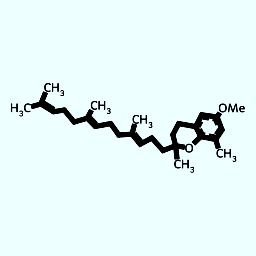 COc1cc(C)c2c(c1)CCC(C)(CC/C=C(\C)CC/C=C(\C)CCC=C(C)C)O2